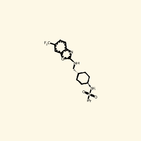 CC(C)S(=O)(=O)N[C@H]1CC[C@H](CNc2nc3ccc(C(F)(F)F)cc3o2)CC1